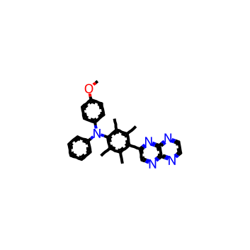 COc1ccc(N(c2ccccc2)c2c(C)c(C)c(-c3cnc4nccnc4n3)c(C)c2C)cc1